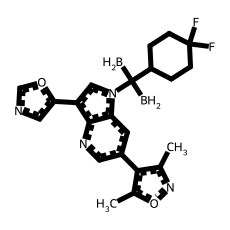 BC(B)(C1CCC(F)(F)CC1)n1cc(-c2cnco2)c2ncc(-c3c(C)noc3C)cc21